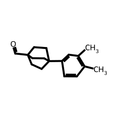 Cc1ccc(C23CCC(C=O)(CC2)CC3)cc1C